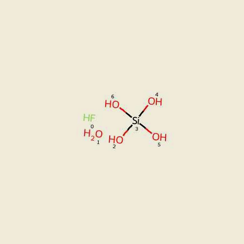 F.O.O[Si](O)(O)O